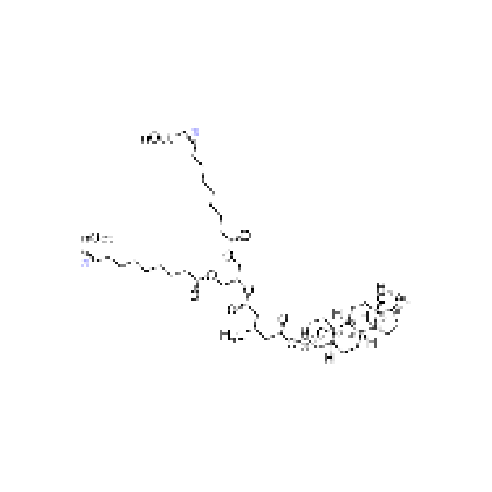 CCCCCCCC/C=C\CCCCCCCC(=O)OCC(COC(=O)CCCCCCC/C=C\CCCCCCCC)OC(=O)CC(C)CC(=O)O[C@H]1CC[C@@]2(C)[C@@H](CC[C@@H]3[C@@H]2CC[C@]2(C)[C@@H](C(C)=O)CC[C@@H]32)C1